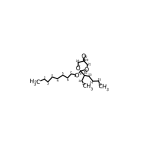 CCCCCCCCOC1(C(CC)CCCC)OCC(=O)CO1